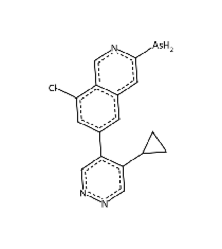 Clc1cc(-c2cnncc2C2CC2)cc2cc([AsH2])ncc12